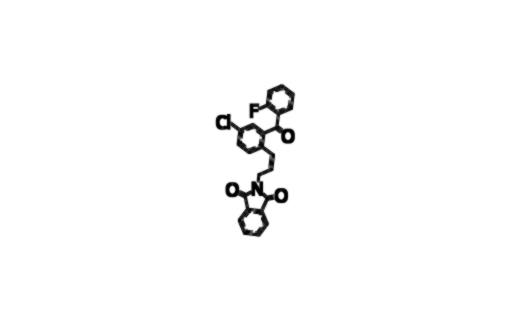 O=C(c1ccccc1F)c1cc(Cl)ccc1/C=C\CN1C(=O)c2ccccc2C1=O